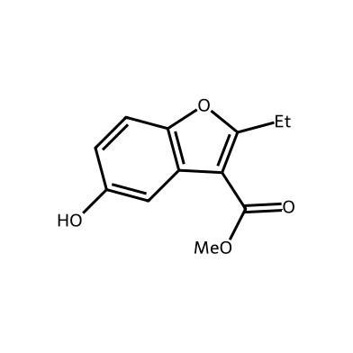 CCc1oc2ccc(O)cc2c1C(=O)OC